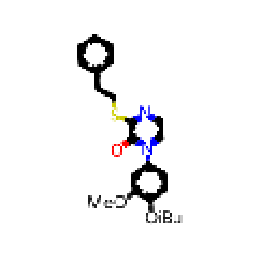 COc1cc(-n2ccnc(SCCc3ccccc3)c2=O)ccc1OCC(C)C